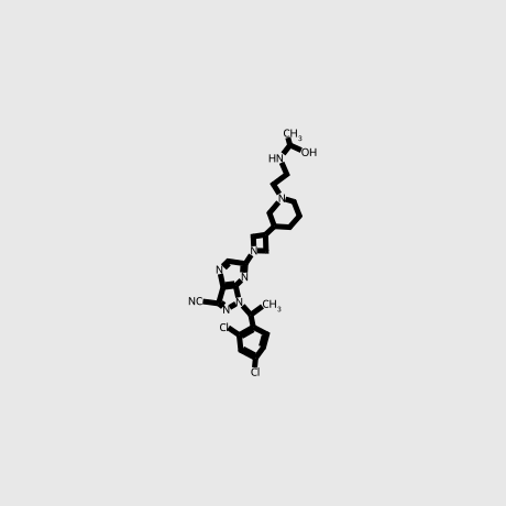 CC(O)NCCN1CCCC(C2CN(c3cnc4c(C#N)nn(C(C)c5ccc(Cl)cc5Cl)c4n3)C2)C1